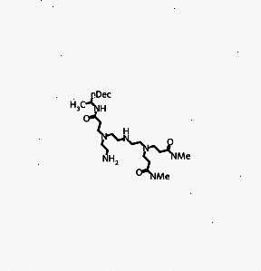 CCCCCCCCCCC(C)NC(=O)CCN(CCN)CCNCCN(CCC(=O)NC)CCC(=O)NC